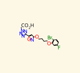 O=C(O)Cn1nnc(-c2cc(OCCCCOc3cc(F)ccc3Br)no2)n1